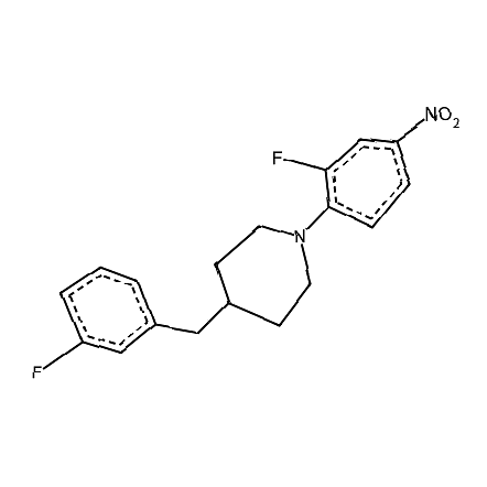 O=[N+]([O-])c1ccc(N2CCC(Cc3cccc(F)c3)CC2)c(F)c1